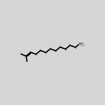 CC(C)=CCCCCCCCCCN